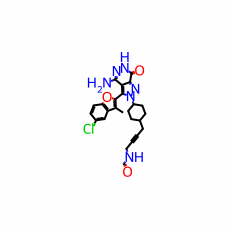 Cc1c(-c2c3c(N)n[nH]c(=O)c3nn2C2CCC(CC#CCNC=O)CC2)oc2ccc(Cl)cc12